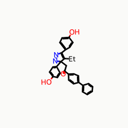 CCC1=C(c2ccc(O)cc2)N=NC1(CC(=O)c1ccc(-c2ccccc2)cc1)c1ccc(O)cc1